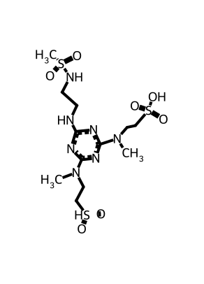 CN(CC[SH](=O)=O)c1nc(NCCNS(C)(=O)=O)nc(N(C)CCS(=O)(=O)O)n1